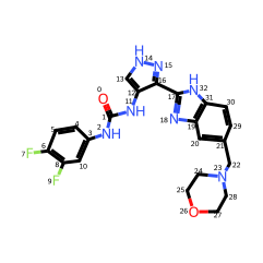 O=C(Nc1ccc(F)c(F)c1)Nc1c[nH]nc1-c1nc2cc(CN3CCOCC3)ccc2[nH]1